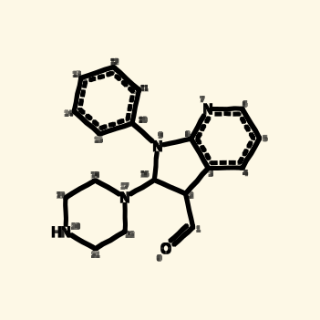 O=CC1c2cccnc2N(c2ccccc2)C1N1CCNCC1